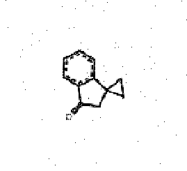 O=C1CC2(CC2)c2ccccc21